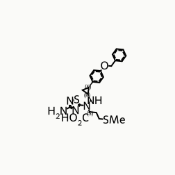 CSCC[C@@H](C(=O)O)N(N[C@@H]1C[C@H]1c1ccc(OCc2ccccc2)cc1)c1nc(N)ns1